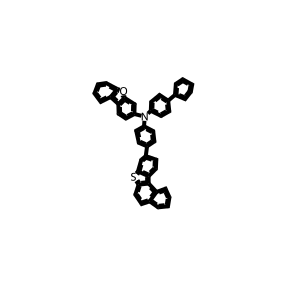 c1ccc(-c2ccc(N(c3ccc(-c4ccc5c(c4)sc4ccc6ccccc6c45)cc3)c3ccc4c(c3)oc3ccccc34)cc2)cc1